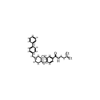 CCN(CC)CCNC(=O)c1ccc(OC2CCN(Cc3ccc(-c4ccccc4)cc3)CC2)c(Cl)c1